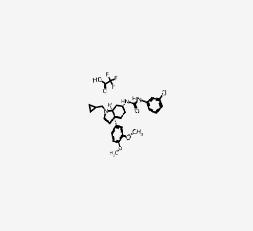 COc1ccc([C@@]23CC[C@@H](NC(=O)Nc4cccc(Cl)c4)C[C@@H]2N(CC2CC2)CC3)cc1OC.O=C(O)C(F)(F)F